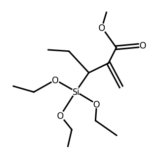 C=C(C(=O)OC)C(CC)[Si](OCC)(OCC)OCC